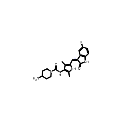 Cc1[nH]c(/C=C2\C(=O)Nc3ccc(F)cc32)c(C)c1NC(=O)N1CCC(N)CC1